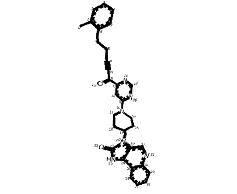 Cc1ccccc1CCC#CC(=O)c1cc(N2CCC(n3c(=O)[nH]c4c5ccccc5ncc43)CC2)ncn1